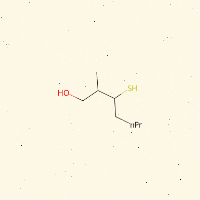 CCCCC(S)C(C)CO